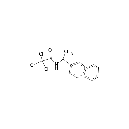 CC(NC(=O)C(Cl)(Cl)Cl)c1ccc2ccccc2c1